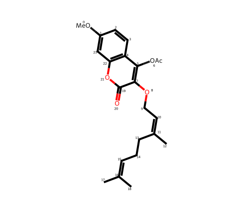 COc1ccc2c(OC(C)=O)c(OCC=C(C)CCC=C(C)C)c(=O)oc2c1